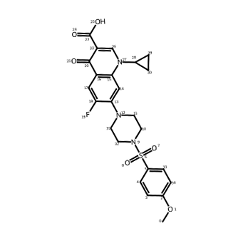 COc1ccc(S(=O)(=O)N2CCN(c3cc4c(cc3F)c(=O)c(C(=O)O)cn4C3CC3)CC2)cc1